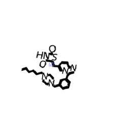 CCCCCCN1CCN(Cc2cccc(-c3cnc4ccc(/C=C5\SC(=O)NC5=O)cn34)c2)CC1